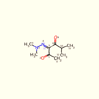 CC(=O)/C(=N\N(C)C)C(=O)C(C)C